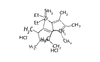 C[CH2][Zr](=[SiH2])([CH2]C)([C]1=C(C)C(C)=C(C)C1C)[C]1=C(C)C(C)=C(C)C1C.Cl.Cl